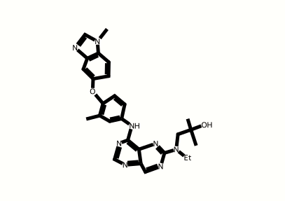 CCN(CC(C)(C)O)c1ncc2ncnc(Nc3ccc(Oc4ccc5c(c4)ncn5C)c(C)c3)c2n1